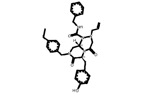 C=CCN1CC(=O)N2[C@@H](Cc3ccc(O)cc3)C(=O)N(Cc3ccc(CC)cc3)C[C@@H]2N1C(=O)NCc1ccccc1